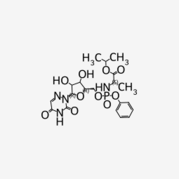 CC(C)OC(=O)[C@H](C)NP(=O)(OC[C@H]1O[C@@H](n2ncc(=O)[nH]c2=O)C(O)C1O)Oc1ccccc1